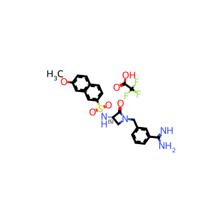 COc1ccc2ccc(S(=O)(=O)N[C@H]3CN(Cc4cccc(C(=N)N)c4)C3=O)cc2c1.O=C(O)C(F)(F)F